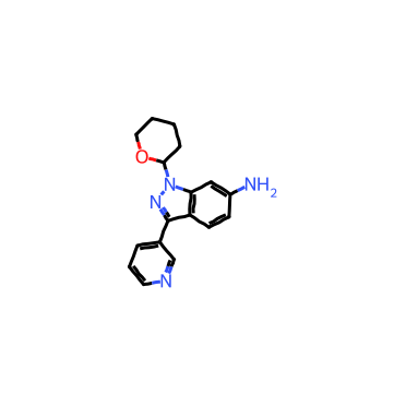 Nc1ccc2c(-c3cccnc3)nn(C3CCCCO3)c2c1